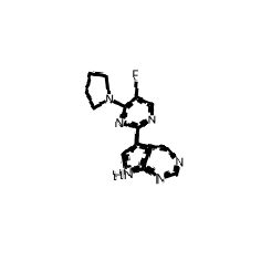 Fc1cnc(-c2c[nH]c3ncncc23)nc1N1CCCC1